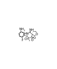 C[C@@]1(c2cc(N)ccc2F)CS(=O)(=O)[C@@]2(CCOC2)C(=N)N1